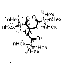 CCCCCC[N+](CCCCCC)(CCCCCC)C(=O)CC(CC(=O)[N+](CCCCCC)(CCCCCC)CCCCCC)C(=O)[N+](CCCCCC)(CCCCCC)CCCCCC